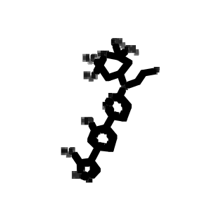 Cc1[nH]ncc1-c1ccc(-c2ccc(N(CCF)C3CC(C)(C)NC(C)(C)C3)nn2)c(O)c1